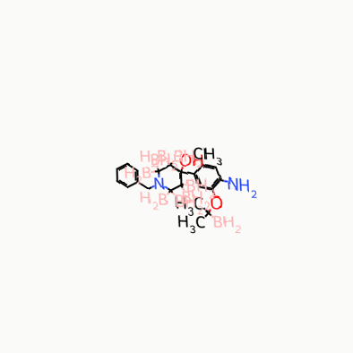 BC(C)(C)Oc1cc(C2(O)C(B)(B)C(B)(B)N(Cc3ccccc3)C(B)(B)C2(B)B)c(C)cc1N